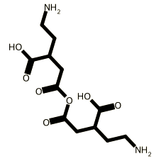 NCCC(CC(=O)OC(=O)CC(CCN)C(=O)O)C(=O)O